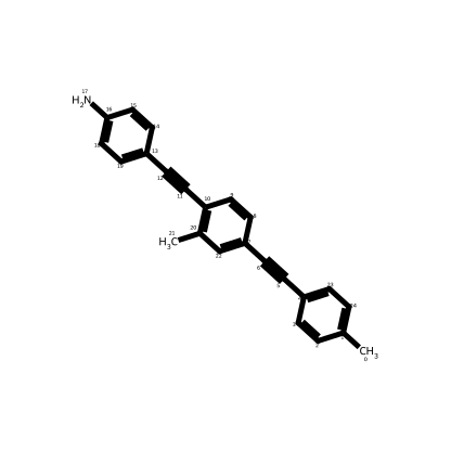 Cc1ccc(C#Cc2ccc(C#Cc3ccc(N)cc3)c(C)c2)cc1